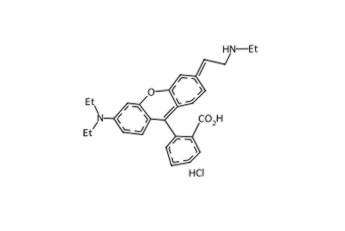 CCNCC=c1ccc2c(c1)Oc1cc(N(CC)CC)ccc1C=2c1ccccc1C(=O)O.Cl